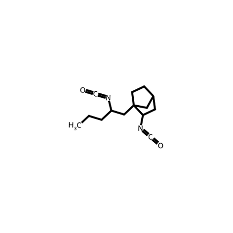 CCCC(CC12CCC(CC1N=C=O)C2)N=C=O